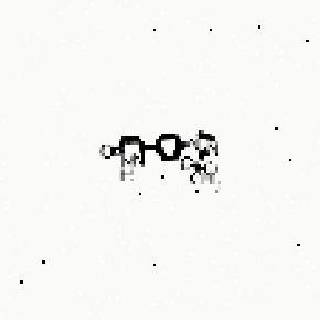 CS(=O)(=O)c1nccn1-c1ccc(-c2ccc(=O)[nH]n2)cc1